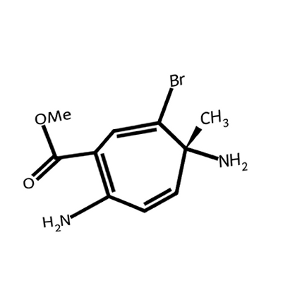 COC(=O)C1=C(N)C=C[C@@](C)(N)C(Br)=C1